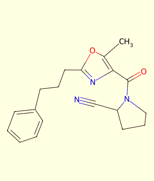 Cc1oc(CCCc2ccccc2)nc1C(=O)N1CCCC1C#N